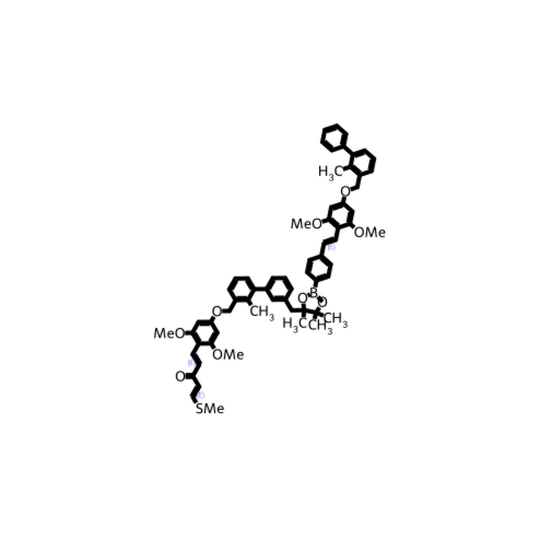 COc1cc(OCc2cccc(-c3ccccc3)c2C)cc(OC)c1/C=C/c1ccc(B2OC(C)(C)C(C)(Cc3cccc(-c4cccc(COc5cc(OC)c(/C=C/C(=O)/C=C/SC)c(OC)c5)c4C)c3)O2)cc1